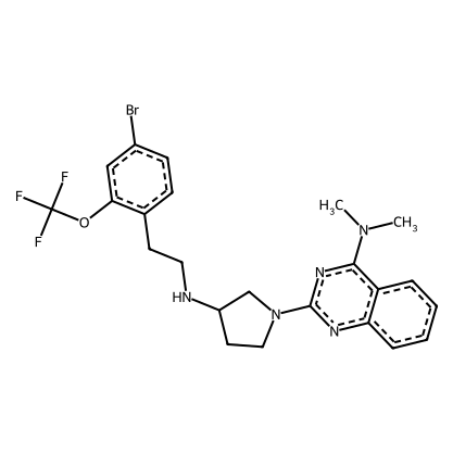 CN(C)c1nc(N2CCC(NCCc3ccc(Br)cc3OC(F)(F)F)C2)nc2ccccc12